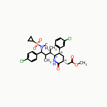 COC(=O)C[C@H]1C[C@H](c2cccc(Cl)c2)[C@H](C(C)C(C)C(c2ccc(Cl)cc2)N(C)S(=O)(=O)C2CC2)NC1=O